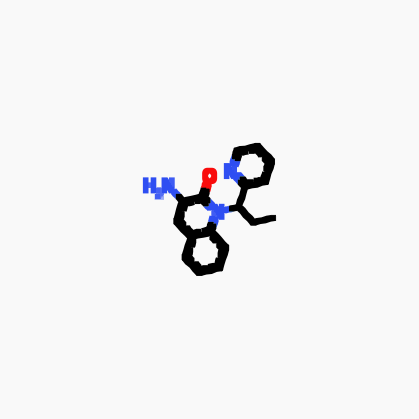 CCC(c1ccccn1)n1c(=O)c(N)cc2ccccc21